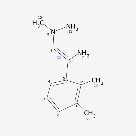 Cc1cccc(/C(N)=C/N(C)N)c1C